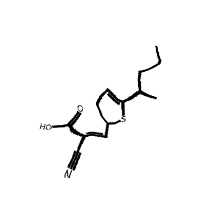 CCCC(C)C1=CCC(/C=C(/C#N)C(=O)O)S1